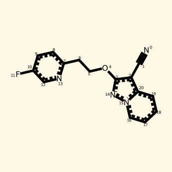 N#Cc1c(OCCc2ccc(F)cn2)nn2ccccc12